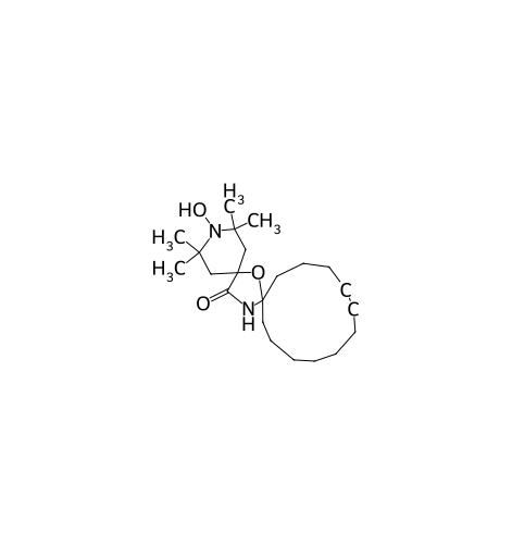 CC1(C)CC2(CC(C)(C)N1O)OC1(CCCCCCCCCCC1)NC2=O